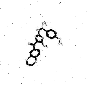 COc1ccc([C@@H](C)Nc2nc(N)c(C(=O)c3ccc4c(c3)OCCO4)s2)cc1